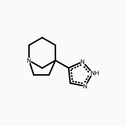 c1n[nH]nc1C12CCCN(CC1)C2